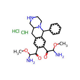 COC(N)C(=O)c1cc2c(cc1C(=O)C(N)OC)C(c1ccccc1)N1CCNCC1C2.Cl.Cl